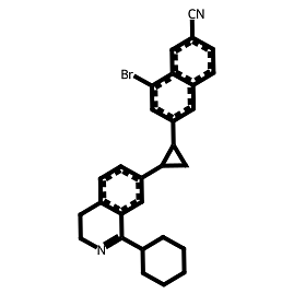 N#Cc1ccc2cc(C3CC3c3ccc4c(c3)C(C3CCCCC3)=NCC4)cc(Br)c2c1